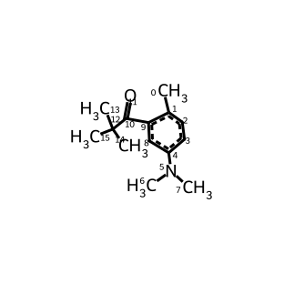 Cc1ccc(N(C)C)cc1C(=O)C(C)(C)C